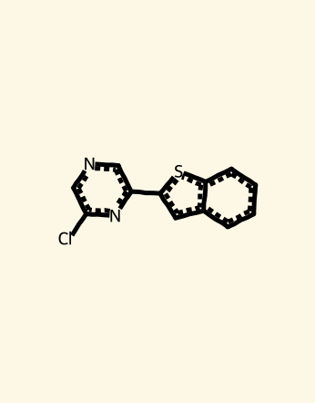 Clc1cncc(-c2cc3ccccc3s2)n1